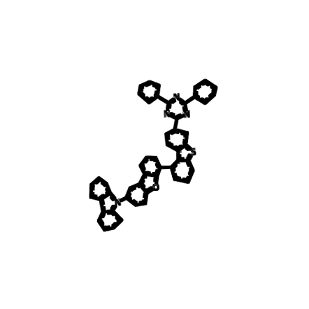 c1ccc(-c2nc(-c3ccccc3)nc(-c3ccc4c(c3)sc3cccc(-c5cccc6c5oc5ccc(-n7c8ccccc8c8ccccc87)cc56)c34)n2)cc1